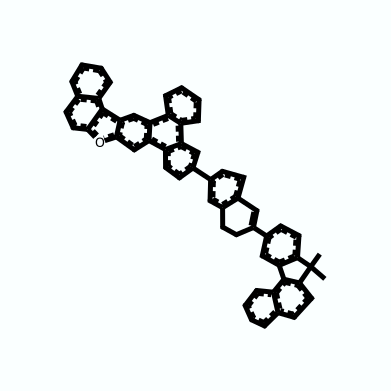 CC1(C)c2ccc(C3=Cc4ccc(-c5ccc6c(c5)c5ccccc5c5cc7c(cc65)oc5ccc6ccccc6c57)cc4CC3)cc2-c2c1ccc1ccccc21